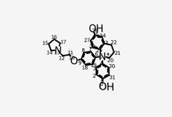 Oc1ccc([N+]2(c3ccc(OCCN4CCCC4)cc3)CCCc3cc(O)ccc32)cc1